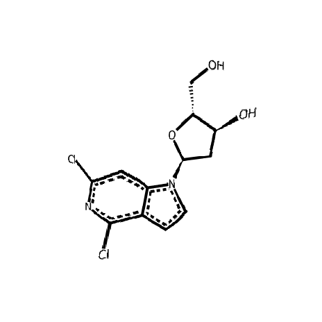 OC[C@H]1O[C@H](n2ccc3c(Cl)nc(Cl)cc32)C[C@@H]1O